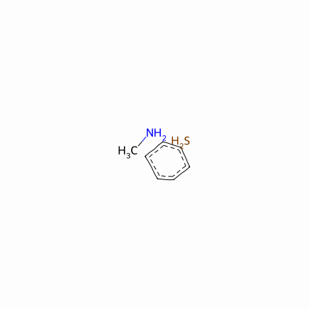 CN.S.c1ccccc1